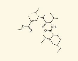 CCOC(=O)/C(C)=C/[C@H](C(C)C)N(C)C(=O)[C@@H](NC(=O)[C@@H]1CC[C@H](CC)CN1C(C)C)C(C)C